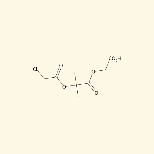 CC(C)(OC(=O)CCl)C(=O)OCC(=O)O